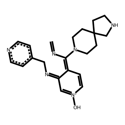 C=N/C(=C1/C=C[N+](O)=C/C1=N/Cc1ccncc1)N1CCC2(CCNC2)CC1